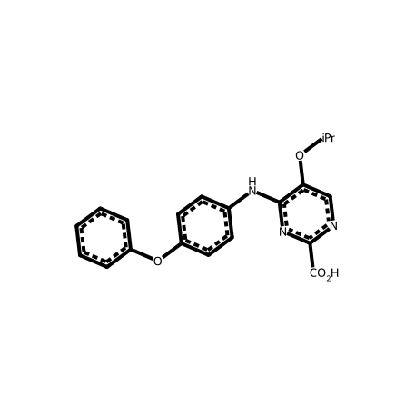 CC(C)Oc1cnc(C(=O)O)nc1Nc1ccc(Oc2ccccc2)cc1